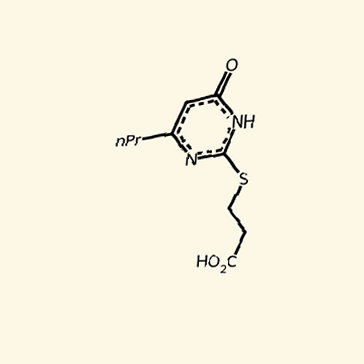 CCCc1cc(=O)[nH]c(SCCC(=O)O)n1